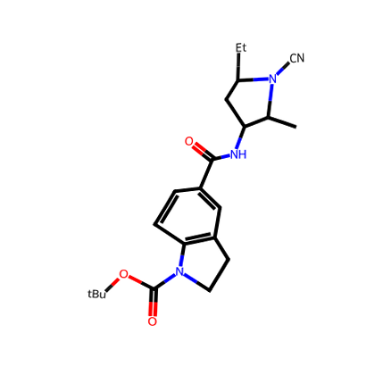 CCC1CC(NC(=O)c2ccc3c(c2)CCN3C(=O)OC(C)(C)C)C(C)N1C#N